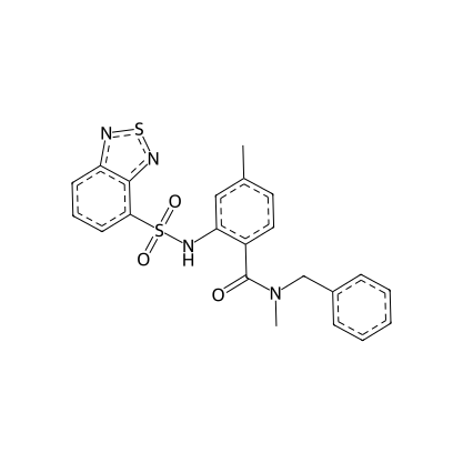 Cc1ccc(C(=O)N(C)Cc2ccccc2)c(NS(=O)(=O)c2cccc3nsnc23)c1